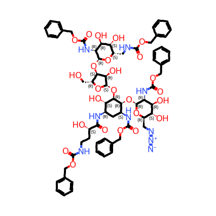 [N-]=[N+]=NC[C@H]1O[C@H](O[C@H]2[C@H](O[C@@H]3O[C@H](CO)[C@@H](O[C@H]4O[C@@H](CNC(=O)OCc5ccccc5)[C@@H](O)[C@H](O)[C@H]4NC(=O)OCc4ccccc4)[C@H]3O)[C@@H](O)[C@H](NC(=O)[C@@H](O)CCNC(=O)OCc3ccccc3)C[C@@H]2NC(=O)OCc2ccccc2)[C@H](NC(=O)OCc2ccccc2)[C@@H](O)[C@@H]1O